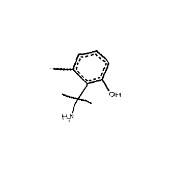 [CH2]c1cccc(O)c1C(C)(C)N